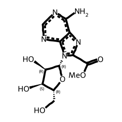 COC(=O)c1nc2c(N)ncnc2n1[C@@H]1O[C@H](CO)[C@@H](O)[C@H]1O